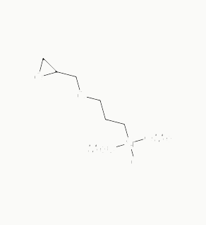 CO[Si]([O])(CCCOCC1CO1)OC